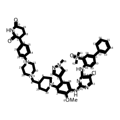 COc1cc(N2CCC(CN3CCN(c4ccc(C5CCC(=O)NC5=O)cc4)CC3)CC2)c(-c2cnn(C)c2)cc1Nc1ncc(Cl)c(Nc2ccc(-c3ccccc3)cc2P(C)(C)=O)n1